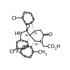 Cc1ccc(F)cc1[C@H]1N(CC(=O)O)C(=O)C[C@@H](c2cccc(Cl)c2)[C@]12C(=O)Nc1cc(Cl)ccc12